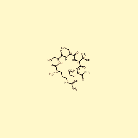 C[C@@H](CCCNC(=N)N)C(=O)N[C@@H](CO)C(=O)N[C@@H](CO)C(=O)N[C@H](C(=O)N[C@@H](CCC(=O)O)C(N)=O)[C@@H](C)O